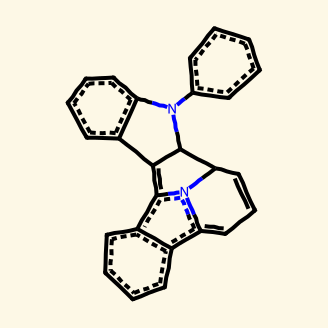 C1=CC2C3C(=c4c5ccccc5c(n42)=C1)c1ccccc1N3c1ccccc1